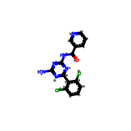 Nc1nc(NC(=O)c2cccnc2)nc(-c2c(Cl)cccc2Cl)n1